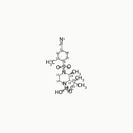 Cc1cc(C#N)ccc1S(=O)(=O)N1CCN(C(=O)O)C(C(C)(C)C)[C@@H]1C